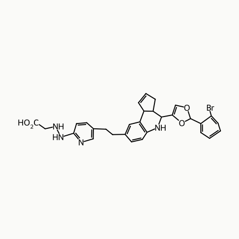 O=C(O)CNNc1ccc(CCc2ccc3c(c2)C2C=CCC2C(C2=COC(c4ccccc4Br)O2)N3)cn1